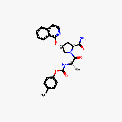 Cc1ccc(OC(=O)N[C@H](C(=O)N2C[C@H](Oc3nccc4ccccc34)C[C@H]2C(N)=O)C(C)(C)C)cc1